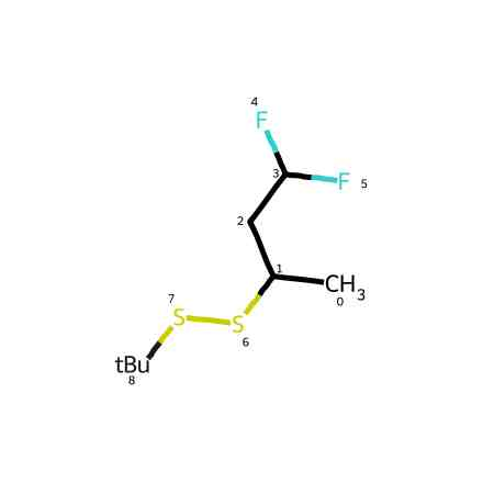 CC(CC(F)F)SSC(C)(C)C